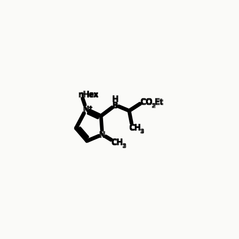 CCCCCC[n+]1ccn(C)c1BC(C)C(=O)OCC